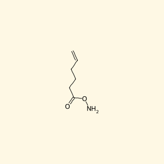 C=CCCCC(=O)ON